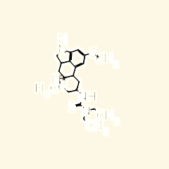 CCN(CC)C(=S)N[C@H]1CC2c3cc(SC)cc4c3C(CN4)C[C@H]2N(C)C1